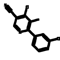 Cc1c(-c2cccc(Cl)c2)ncc(C#N)c1Cl